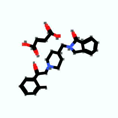 Cc1ccccc1C(=O)CN1CCC(CN2Cc3ccccc3C2=O)CC1.O=C(O)/C=C/C(=O)O